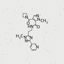 Cn1nc(-c2cccnc2)nc1CCNC(=O)c1c(C(=O)N2CCC2)cnn1C